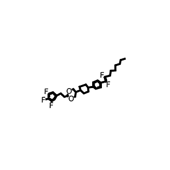 CCCCCCC/C(F)=C(\F)c1ccc(C2CCC(C3COC(CCc4cc(F)c(F)c(F)c4)OC3)CC2)cc1